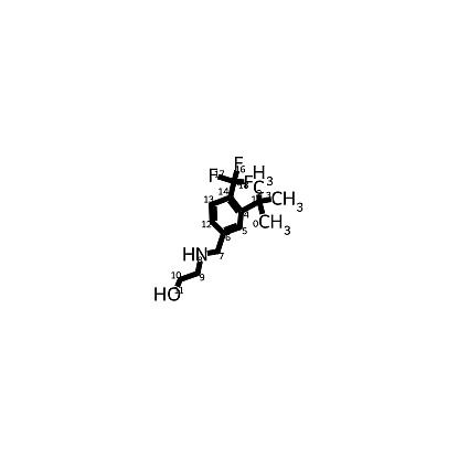 CC(C)(C)c1cc(CNCCO)ccc1C(F)(F)F